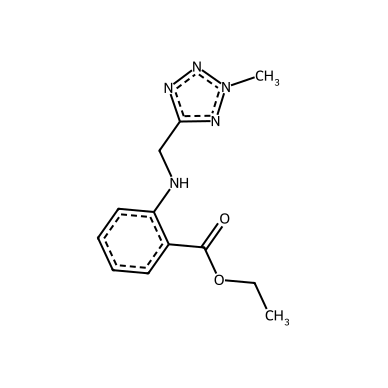 CCOC(=O)c1ccccc1NCc1nnn(C)n1